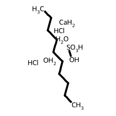 CCCCCCCCCC.Cl.Cl.O.O.O=S(=O)(O)O.[CaH2]